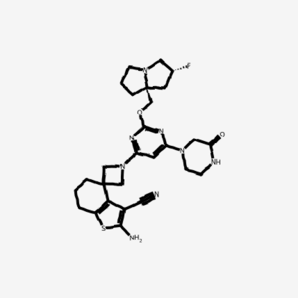 N#Cc1c(N)sc2c1C1(CCC2)CN(c2cc(N3CCNC(=O)C3)nc(OC[C@@]34CCCN3C[C@H](F)C4)n2)C1